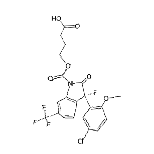 COc1ccc(Cl)cc1[C@]1(F)C(=O)N(C(=O)OCCCC(=O)O)c2cc(C(F)(F)F)ccc21